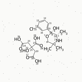 C[C@@H]1NC(C)(C)CO[C@@]1(O)c1cccc(Cl)c1.O=C(O)CC(O)(CC(=O)O)C(=O)O